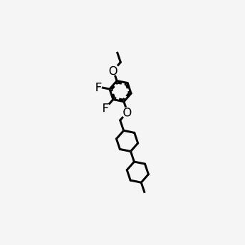 CCOc1ccc(OCC2CCC(C3CCC(C)CC3)CC2)c(F)c1F